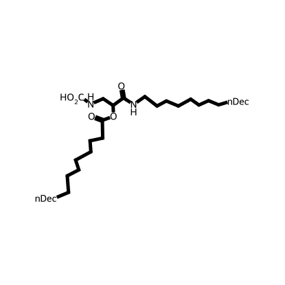 CCCCCCCCCCCCCCCCCCNC(=O)C(CNC(=O)O)OC(=O)CCCCCCCCCCCCCCCCC